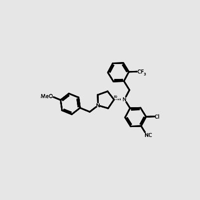 [C-]#[N+]c1ccc(N(Cc2ccccc2C(F)(F)F)[C@H]2CCN(Cc3ccc(OC)cc3)C2)cc1Cl